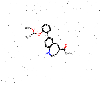 CCCOC(C)Oc1ccccc1-c1ccc2c(c1)C=C(C(=O)OC)CCN2